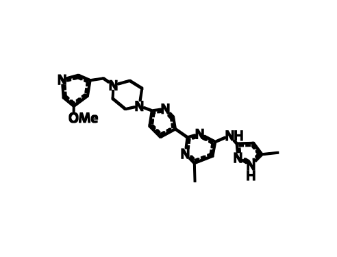 COc1cncc(CN2CCN(c3ccc(-c4nc(C)cc(Nc5cc(C)[nH]n5)n4)cn3)CC2)c1